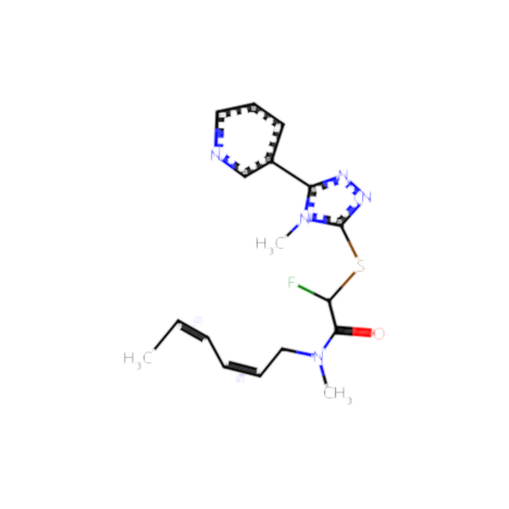 C/C=C\C=C/CN(C)C(=O)C(F)Sc1nnc(-c2cccnc2)n1C